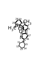 Cc1ccc2c(oc3nc(C4CCCCC4)ccc32)c1C1(C)C=CC=CN1C